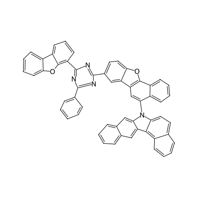 c1ccc(-c2nc(-c3ccc4oc5c6ccccc6c(-n6c7cc8ccccc8cc7c7c8ccccc8ccc76)cc5c4c3)nc(-c3cccc4c3oc3ccccc34)n2)cc1